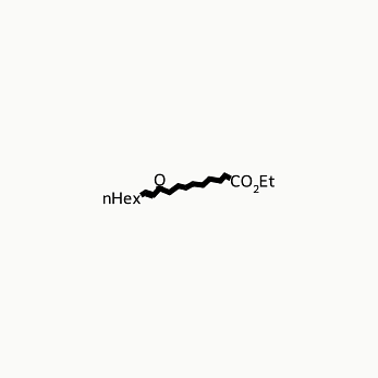 CCCCCCC=CC(=O)CCCCCCCCC(=O)OCC